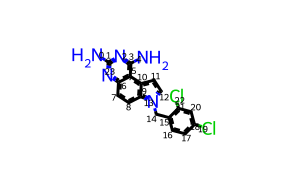 Nc1nc(N)c2c(ccc3c2ccn3Cc2ccc(Cl)cc2Cl)n1